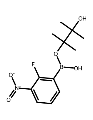 CC(C)(O)C(C)(C)OB(O)c1cccc([N+](=O)[O-])c1F